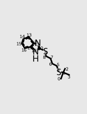 CC(C)(C)SCCCCSc1nc2ccccc2[nH]1